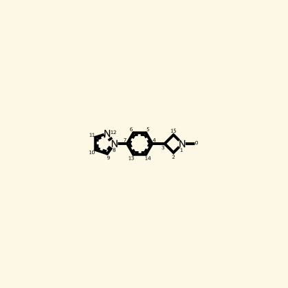 CN1CC(c2ccc(-n3cccn3)cc2)C1